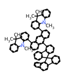 CN1c2ccccc2C(C)(C)c2cccc(-c3cccc4c(-c5cccc6c5-c5ccccc5C65c6ccccc6-c6ccc7ccccc7c65)c5cccc(-c6cccc7c6N(C)c6ccccc6C7(C)C)c5cc34)c21